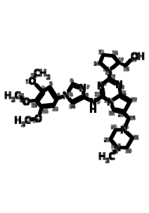 COc1cc(-n2cnc(Nc3nc(N4CCC[C@H]4CO)nc4cc(CN5CCN(C)CC5)cn34)c2)cc(OC)c1OC